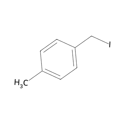 Cc1ccc(CI)cc1